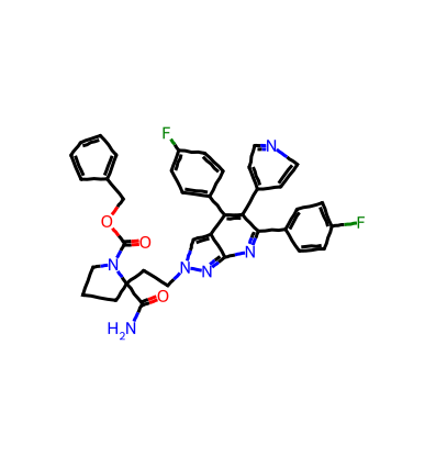 NC(=O)C1(CCn2cc3c(-c4ccc(F)cc4)c(-c4ccncc4)c(-c4ccc(F)cc4)nc3n2)CCCN1C(=O)OCc1ccccc1